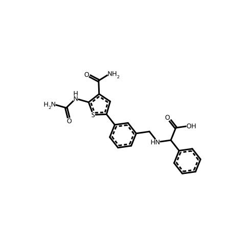 NC(=O)Nc1sc(-c2cccc(CNC(C(=O)O)c3ccccc3)c2)cc1C(N)=O